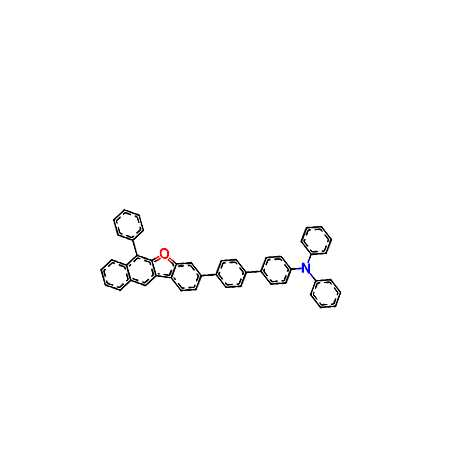 c1ccc(-c2c3ccccc3cc3c2oc2cc(-c4ccc(-c5ccc(N(c6ccccc6)c6ccccc6)cc5)cc4)ccc23)cc1